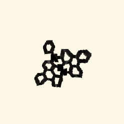 c1ccc(N2c3ccc4c5ccccc5c5cccc6c5c4c3B3c4c2ccc2c5ccccc5c5cccc(c5c42)N36)cc1